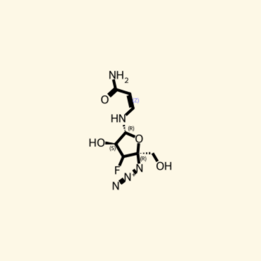 [N-]=[N+]=N[C@]1(CO)O[C@@H](N/C=C\C(N)=O)[C@H](O)C1F